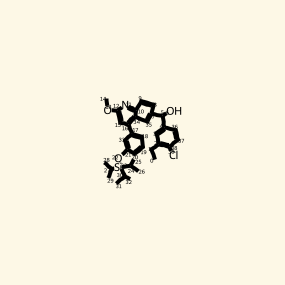 CCc1cc(C(O)c2ccc3nc(OC)cc(-c4cccc(O[Si](C(C)C)(C(C)C)C(C)C)c4)c3c2)ccc1Cl